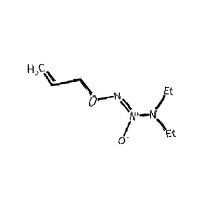 C=CCO/N=[N+](\[O-])N(CC)CC